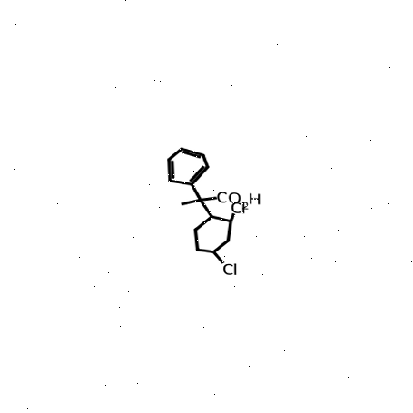 CC(C(=O)O)(c1ccccc1)C1CCC(Cl)CC1Cl